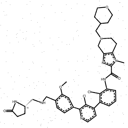 COc1cc(-c2nccc(-c3cccc(NC(=O)c4nc5c(n4C)CCN(CC4CCOCC4)C5)c3Cl)c2Cl)ccc1CNC[C@@H]1CCC(=O)N1